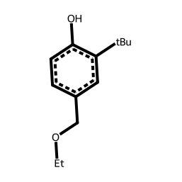 CCOCc1ccc(O)c(C(C)(C)C)c1